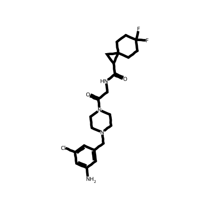 Nc1cc(Cl)cc(CN2CCN(C(=O)CNC(=O)C3CC34CCC(F)(F)CC4)CC2)c1